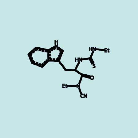 CCNC(=S)NC(Cc1c[nH]c2ccccc12)C(=O)N(C#N)CC